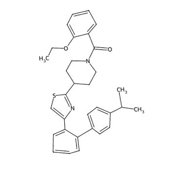 CCOc1ccccc1C(=O)N1CCC(c2nc(-c3ccccc3-c3ccc(C(C)C)cc3)cs2)CC1